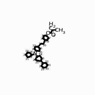 C=C(C)C(=O)Oc1ccc(C=Cc2ccc(N(c3ccccc3)c3ccc(-c4ccccc4)cc3)cc2)cc1